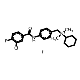 C[N+](C)(Cc1ccc(NC(=O)c2ccc(F)c(Cl)c2)cc1)C1CCCCC1.[I-]